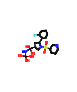 O=S(=O)(c1cccnc1)n1cc(C(O)(O)NC(O)(O)O)cc1-c1ccccc1F